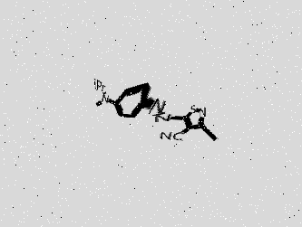 Cc1nsc(N=Nc2ccc(N(C)C(C)C)cc2)c1C#N